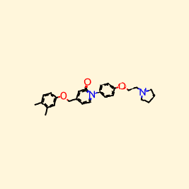 Cc1ccc(OCc2ccn(-c3ccc(OCCN4CCCC4)cc3)c(=O)c2)cc1C